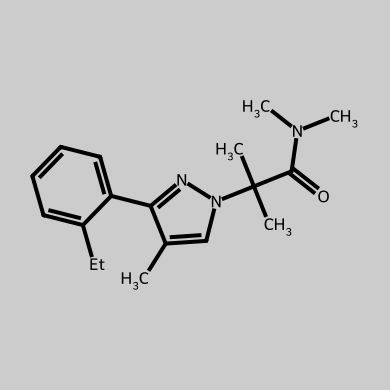 CCc1ccccc1-c1nn(C(C)(C)C(=O)N(C)C)cc1C